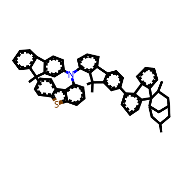 CC1CC2CC(C)C3(c4ccccc4-c4c(-c5ccc6c(c5)C(C)(C)c5c-6cccc5N(c5ccc6c(c5)C(C)(C)c5ccccc5-6)c5cccc6sc7ccccc7c56)cccc43)C(C1)C2